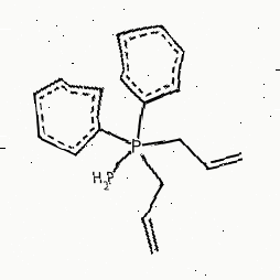 C=CCP(P)(CC=C)(c1ccccc1)c1ccccc1